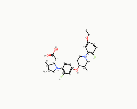 CCOc1ccc(F)c(N2CCC(Oc3ccc(N4C[C@H](C)[C@@H](C)[C@@H]4CC(=O)O)c(F)c3)C(C)C2)c1